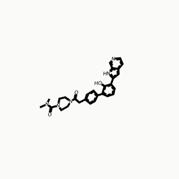 CN(C)C(=O)N1CCN(C(=O)Cc2ccc(-c3cccc(-c4cc5ccncc5[nH]4)c3O)cc2)CC1